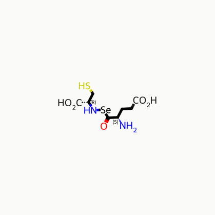 N[C@@H](CCC(=O)O)C(=O)[Se]N[C@@H](CS)C(=O)O